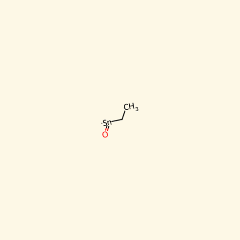 C[CH2][Sn]=[O]